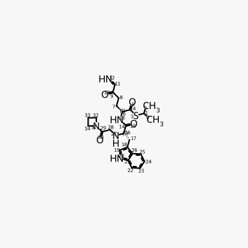 CC(C)SC(=O)[C@H](CCC(=O)C=N)NC(=O)[C@H](Cc1c[nH]c2ccccc12)NCC(=O)N1CCC1